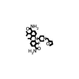 CC(C)c1c(C(N)=O)ccc(N(c2cccc(C(N)=O)c2F)C2CCN(Cc3ccco3)CC2)c1C(C)C